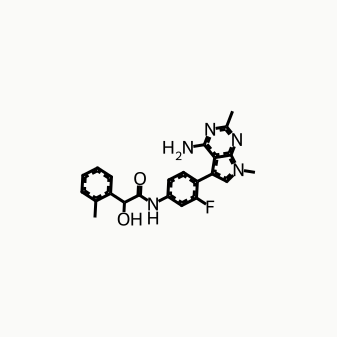 Cc1nc(N)c2c(-c3ccc(NC(=O)C(O)c4ccccc4C)cc3F)cn(C)c2n1